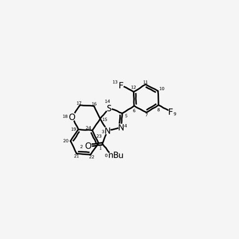 CCCCC(=O)N1N=C(c2cc(F)ccc2F)SC12CCOc1ccccc12